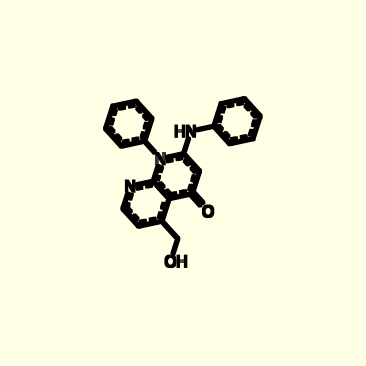 O=c1cc(Nc2ccccc2)n(-c2ccccc2)c2nccc(CO)c12